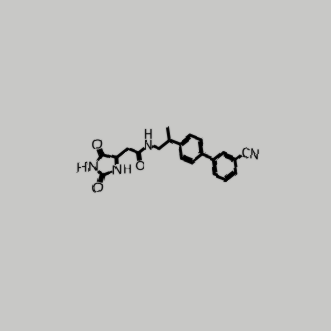 CC(CNC(=O)CC1NC(=O)NC1=O)c1ccc(-c2cccc(C#N)c2)cc1